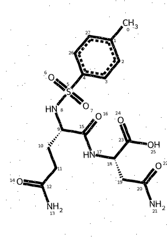 Cc1ccc(S(=O)(=O)N[C@@H](CCC(N)=O)C(=O)N[C@@H](CC(N)=O)C(=O)O)cc1